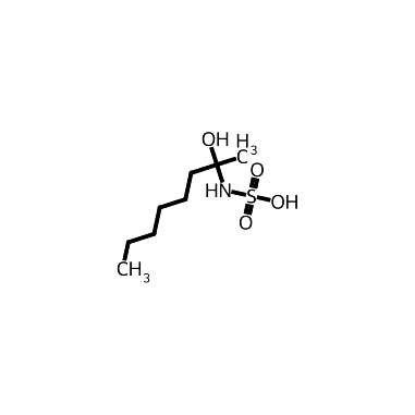 CCCCCCC(C)(O)NS(=O)(=O)O